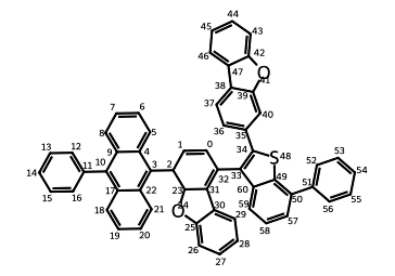 C1=CC(c2c3ccccc3c(-c3ccccc3)c3ccccc23)C2Oc3ccccc3C2=C1c1c(-c2ccc3c(c2)oc2ccccc23)sc2c(-c3ccccc3)cccc12